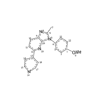 COc1ccc(-n2c(C)nc3ccc(-c4ccncc4)nc32)cc1